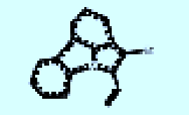 C=Cc1c(CC)c2cccc3c4ccccc4n1c23